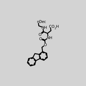 CCCCCCCCCCCNC(=O)C(CC(=O)O)NC(=O)OCc1cccc2c1Cc1ccccc1-2